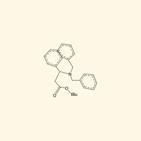 CC(C)(C)OC(=O)CC(c1ccccc1)N(Cc1ccccc1)Cc1ccccc1